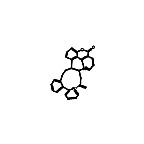 C=C1CC2C(CCc3ccccc3-c3cccc[n+]31)c1cccc3oc(=O)c4ccc[n+]2c4c13